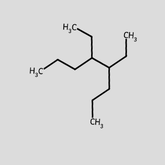 CCCC(CC)C(CC)CCC